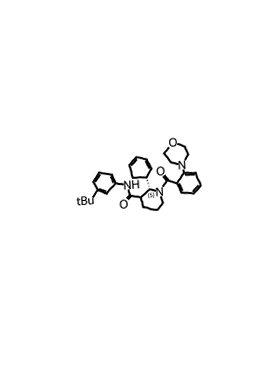 CC(C)(C)c1cccc(NC(=O)C2CCCN(C(=O)c3ccccc3N3CCOCC3)[C@H]2C2C=CC=CC2)c1